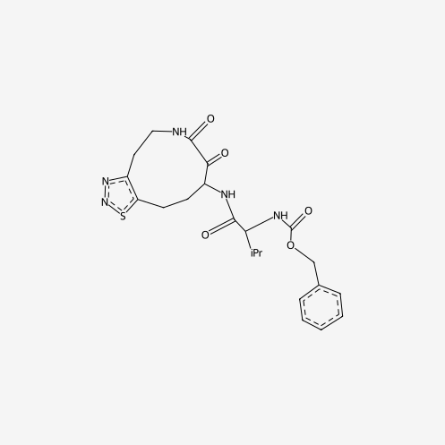 CC(C)C(NC(=O)OCc1ccccc1)C(=O)NC1CCc2snnc2CCNC(=O)C1=O